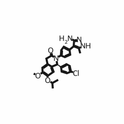 COc1cc2c(cc1OC(C)C)[C@H](c1ccc(Cl)cc1)N(c1ccc(-c3c(N)n[nH]c3C)cc1)C(=O)C2